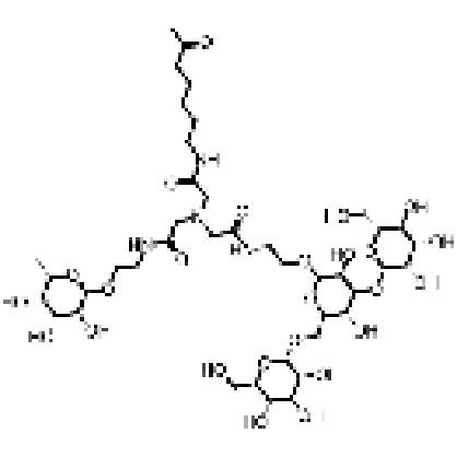 CC(=O)CCCCCNC(=O)CN(CC(=O)NCCO[C@@H]1O[C@@H](C)[C@@H](O)[C@@H](O)[C@@H]1O)CC(=O)NCCO[C@@H]1O[C@H](CO[C@H]2O[C@H](CO)[C@@H](O)[C@H](O)[C@@H]2O)[C@@H](O)[C@H](O[C@H]2O[C@H](CO)[C@@H](O)[C@H](O)[C@@H]2O)[C@@H]1O